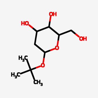 CC(C)(C)OC1CC(O)C(O)C(CO)O1